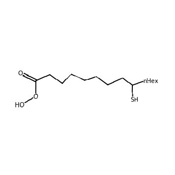 CCCCCCC(S)CCCCCCCC(=O)OO